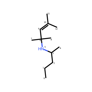 CCCC(C)NC(C)(C)C=C(C)C